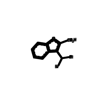 CCC(Br)c1c(C(=O)O)oc2ccccc12